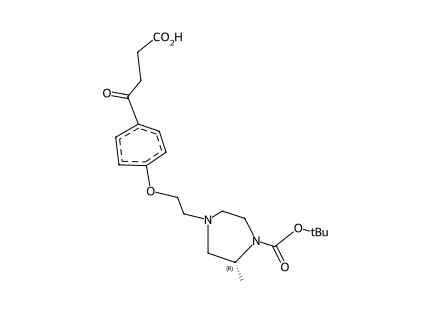 C[C@@H]1CN(CCOc2ccc(C(=O)CCC(=O)O)cc2)CCN1C(=O)OC(C)(C)C